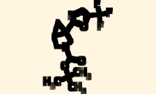 CC(C)(C)OC(=O)N1CC2CC2(c2ncc(C(F)(F)F)o2)C1